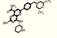 C[C@@H]1CN(Cc2ccc(-c3cc(C(N)=O)c4nc(C(C)(C)C)nc(N[C@H]5CCCNC5)c4n3)cc2)C[C@@H](C)O1